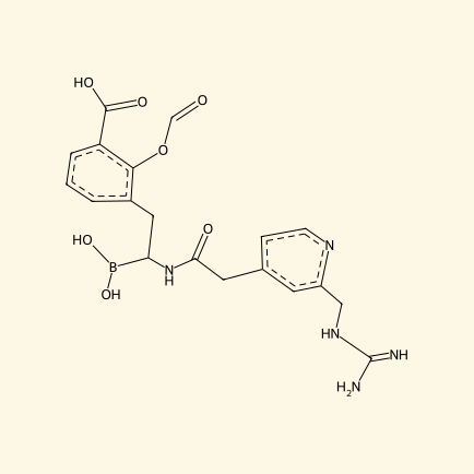 N=C(N)NCc1cc(CC(=O)NC(Cc2cccc(C(=O)O)c2OC=O)B(O)O)ccn1